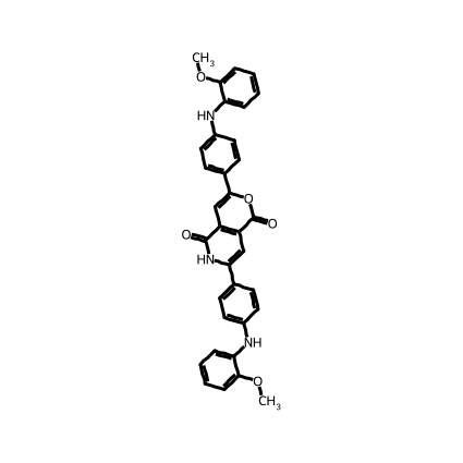 COc1ccccc1Nc1ccc(-c2cc3c(=O)oc(-c4ccc(Nc5ccccc5OC)cc4)cc3c(=O)[nH]2)cc1